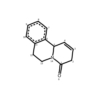 O=C1CC=CC2c3ccccc3CCN12